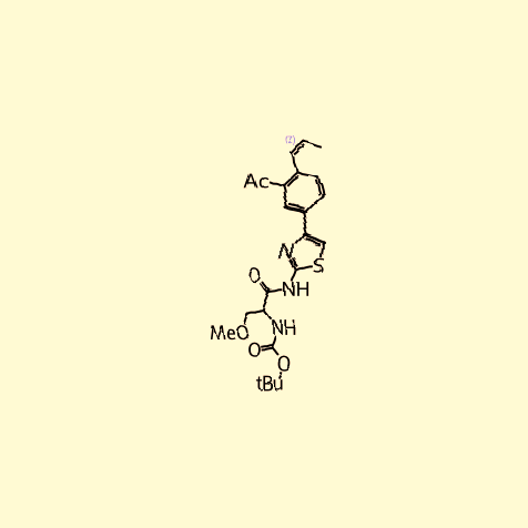 C/C=C\c1ccc(-c2csc(NC(=O)C(COC)NC(=O)OC(C)(C)C)n2)cc1C(C)=O